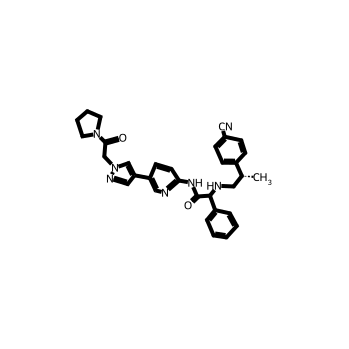 C[C@H](CNC(C(=O)Nc1ccc(-c2cnn(CC(=O)N3CCCC3)c2)cn1)c1ccccc1)c1ccc(C#N)cc1